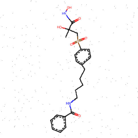 CC(O)(CS(=O)(=O)c1ccc(CCCCCNC(=O)c2ccccc2)cc1)C(=O)NO